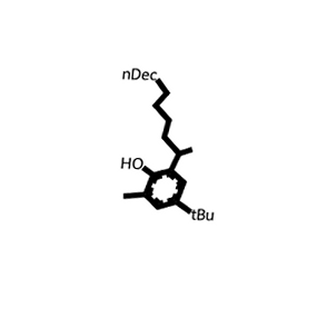 CCCCCCCCCCCCCCC(C)c1cc(C(C)(C)C)cc(C)c1O